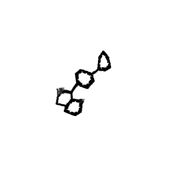 c1ccc(-c2ccc(C3NCCc4cccnc43)cc2)cc1